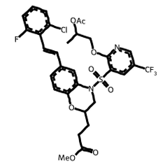 COC(=O)CCC1CN(S(=O)(=O)c2cc(C(F)(F)F)cnc2OCC(C)OC(C)=O)c2cc(C=Cc3c(F)cccc3Cl)ccc2O1